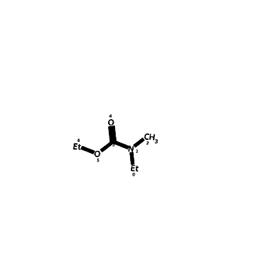 [CH2]CN(C)C(=O)OCC